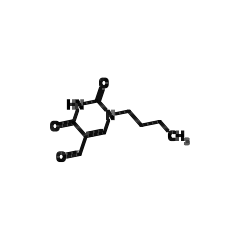 CCCCn1cc(C=O)c(=O)[nH]c1=O